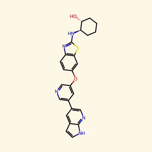 O[C@@H]1CCCC[C@H]1Nc1nc2ccc(Oc3cncc(-c4cnc5[nH]ccc5c4)c3)cc2s1